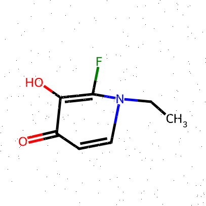 CCn1ccc(=O)c(O)c1F